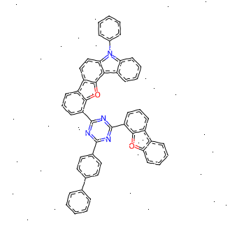 c1ccc(-c2ccc(-c3nc(-c4cccc5c4oc4ccccc45)nc(-c4cccc5c4oc4c5ccc5c4c4ccccc4n5-c4ccccc4)n3)cc2)cc1